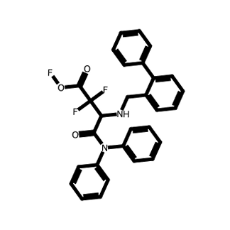 O=C(C(NCc1ccccc1-c1ccccc1)C(F)(F)C(=O)OF)N(c1ccccc1)c1ccccc1